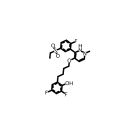 CCS(=O)(=O)c1ccc(F)c(C2=C(OCCCCc3cc(F)cc(F)c3O)C=CN(C)N2)c1